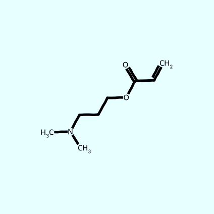 C=CC(=O)OCCCN(C)C